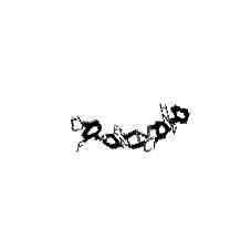 CC[C@H]1CN(c2cc3[nH]c(-c4ccccc4)nc3cc2Cl)CCN1C1CCN(Cc2ccc(Cl)cc2F)CC1